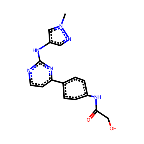 Cn1cc(Nc2nccc(-c3ccc(NC(=O)CO)cc3)n2)cn1